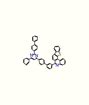 c1ccc(-c2ccc(-c3nc(-c4ccccc4)cc(-c4ccc(-c5cccc(-c6nc7ccccc7c7c6ccc6c8ccccc8sc67)c5)cc4)n3)cc2)cc1